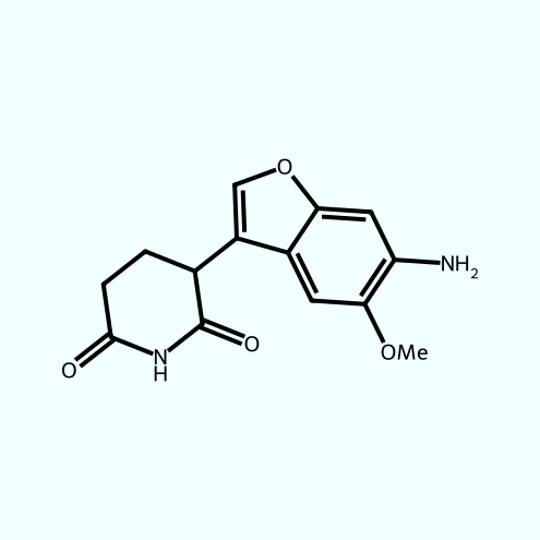 COc1cc2c(C3CCC(=O)NC3=O)coc2cc1N